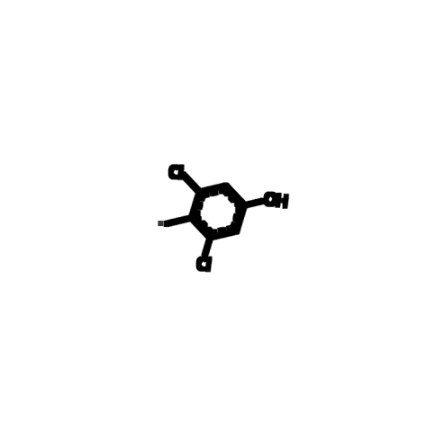 [CH2]c1c(Cl)cc(O)cc1Cl